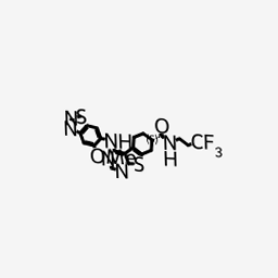 COc1cc2nnsc2cc1Nc1ncnc2sc3c(c12)CC[C@H](C(=O)NCCC(F)(F)F)C3